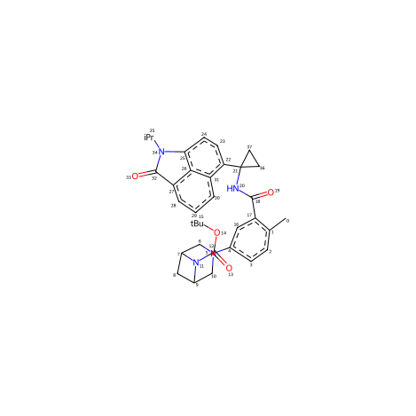 Cc1ccc(N2CC3CC(C2)N3C(=O)OC(C)(C)C)cc1C(=O)NC1(c2ccc3c4c(cccc24)C(=O)N3C(C)C)CC1